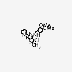 COc1ccc(CNc2nc(-c3ccccn3)nc3sc(C)c(Cl)c23)cc1OC